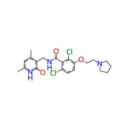 Cc1cc(C)c(CNC(=O)c2c(Cl)ccc(OCCN3CCCC3)c2Cl)c(=O)[nH]1